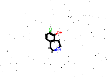 Oc1c(Cl)ccc2c1CCNCC2